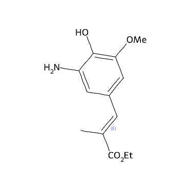 CCOC(=O)/C(C)=C/c1cc(N)c(O)c(OC)c1